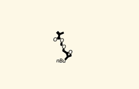 C=C(C)C(=O)OCOCC1OCC1CCCC